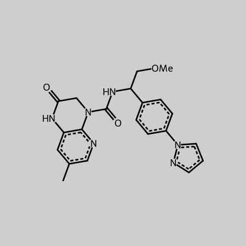 COCC(NC(=O)N1CC(=O)Nc2cc(C)cnc21)c1ccc(-n2cccn2)cc1